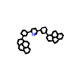 C1=C(c2ccc(-c3cccc(-c4ccc5ccc6cccc7ccc4c5c67)c3)nc2)CCC=C1c1ccc2ccc3cccc4ccc1c2c34